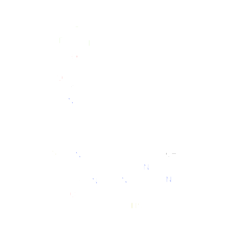 Cc1ncc(S)c(N2CCN(C(=O)c3csc(C4CCN(C(=O)c5ccccc5OC(F)(F)F)CC4)n3)CC2)n1